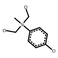 C[Si](CCl)(CCl)c1ccc(Cl)cc1